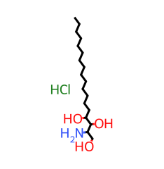 CCCCCCCCCCCCCCC(O)C(O)C(N)CO.Cl